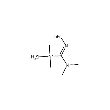 CCCN=C(N(C)C)[N+](C)(C)[SiH3]